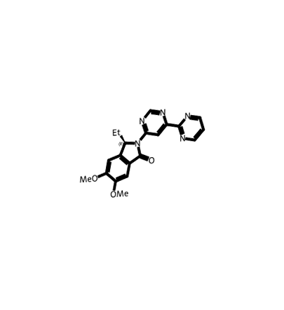 CC[C@@H]1c2cc(OC)c(OC)cc2C(=O)N1c1cc(-c2ncccn2)ncn1